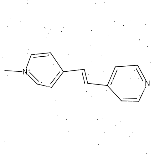 C[n+]1ccc(/C=C/c2ccncc2)cc1